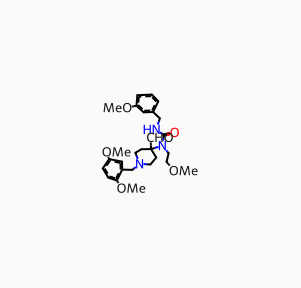 COCCN(C(=O)NCc1cccc(OC)c1)C1(C=O)CCN(Cc2cc(OC)ccc2OC)CC1